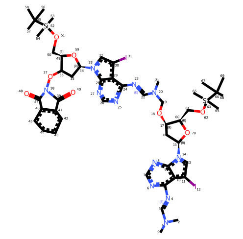 CN(C)/C=N/c1ncnc2c1c(I)cn2[C@H]1C[C@@H](OCN(C)/C=N/c2ncnc3c2c(I)cn3[C@H]2CC(ON3C(=O)c4ccccc4C3=O)[C@@H](CO[Si](C)(C)C(C)(C)C)O2)[C@@H](CO[Si](C)(C)C(C)(C)C)O1